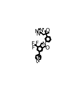 CN1CC2CCC1CN2c1cc2c(c(C(F)(F)F)c1)CN(c1cccc(C3(Cc4nncn4C)COC3)c1)C2=O